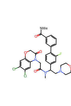 CNC(=O)c1cccc(-c2ccc(C(CN3CCOCC3)N(C)C(=O)CN3C(=O)COc4cc(Cl)c(Cl)cc43)cc2F)c1